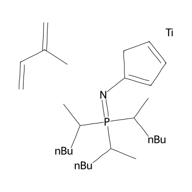 C=CC(=C)C.CCCCC(C)P(=NC1=CC=CC1)(C(C)CCCC)C(C)CCCC.[Ti]